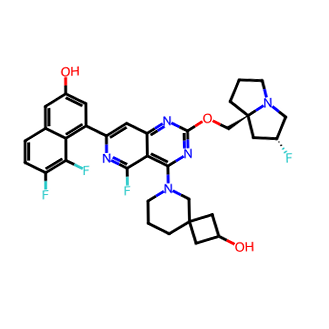 Oc1cc(-c2cc3nc(OC[C@@]45CCCN4C[C@H](F)C5)nc(N4CCCC5(CC(O)C5)C4)c3c(F)n2)c2c(F)c(F)ccc2c1